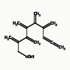 C=C=CC(=C)C(=C)C(=C)C(=C)C(=C)CCCCCCCCC